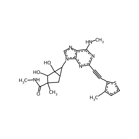 CNC(=O)C1(C)CC2C(n3cnc4c(NC)nc(C#Cc5sccc5C)nc43)C2(O)C1O